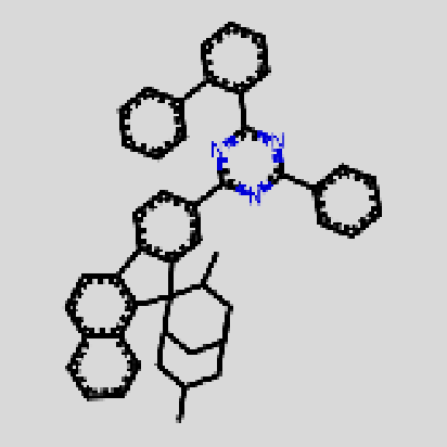 CC1CC2CC(C)C3(c4cc(-c5nc(-c6ccccc6)nc(-c6ccccc6-c6ccccc6)n5)ccc4-c4ccc5ccccc5c43)C(C1)C2